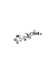 CC(C)(C)OC(=O)N1CCC(N(C(=O)c2cnc(-c3ccc(C(=O)N4CCC[C@@H]4C=N)cc3)nc2)C2CC2)CC1